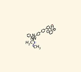 C=C(/C=C\C=C/C)c1nc(-c2ccccc2)nc(-c2ccc(-c3ccc(-c4cccc5c4Oc4ccccc4C54c5ccccc5-c5ccccc54)cc3)cc2)n1